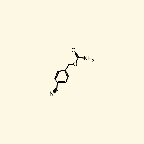 N#Cc1ccc(COC(N)=O)cc1